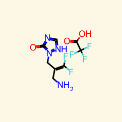 NCC(Cn1[nH]cnc1=O)=C(F)F.O=C(O)C(F)(F)F